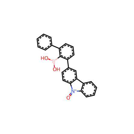 O=[N+]1c2ccccc2-c2cc(-c3cccc(-c4ccccc4)c3B(O)O)ccc21